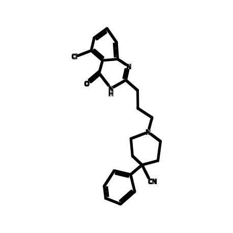 N#CC1(c2ccccc2)CCN(CCCc2nc3cccc(Cl)c3c(=O)[nH]2)CC1